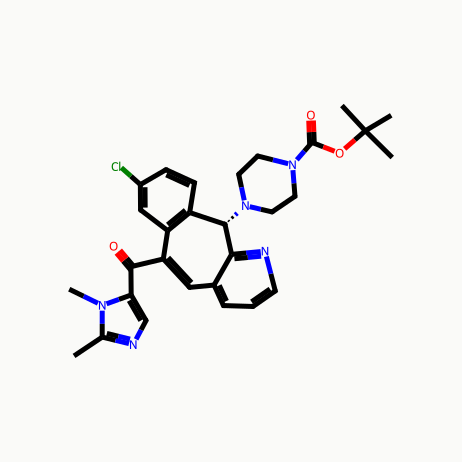 Cc1ncc(C(=O)C2=Cc3cccnc3[C@@H](N3CCN(C(=O)OC(C)(C)C)CC3)c3ccc(Cl)cc32)n1C